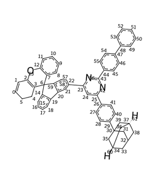 C1=CC2=C(CC1)C1(c3ccccc3O2)c2ccccc2-c2cc(-c3cc(-c4ccc(C56CC7C[C@H](C5)C[C@H](C7)C6)cc4)nc(-c4ccc(-c5ccccc5)cc4)n3)ccc21